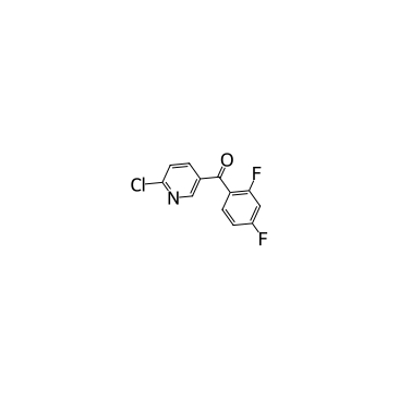 O=C(c1ccc(Cl)nc1)c1ccc(F)cc1F